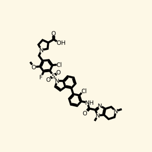 COc1c(CN2CCC(C(=O)O)C2)cc(Cl)c(S(=O)(=O)n2ccc3c(-c4cccc(NC(=O)c5nc6c(n5C)CCN(C)C6)c4Cl)cccc32)c1F